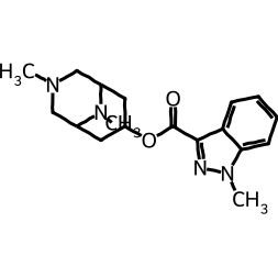 CN1CC2CC(OC(=O)c3nn(C)c4ccccc34)CC(C1)N2C